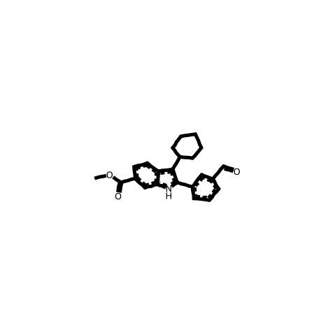 COC(=O)c1ccc2c(C3CCCCC3)c(-c3cccc(C=O)c3)[nH]c2c1